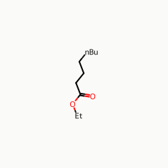 [CH2]COC(=O)CCCCCCC